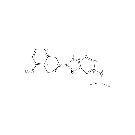 COc1ccnc(C[S+]([O-])c2nc3cc(OC(F)F)ccc3[nH]2)c1C